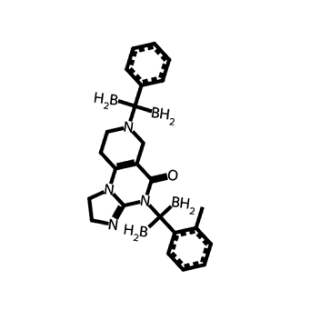 BC(B)(c1ccccc1)N1CCC2=C(C1)C(=O)N(C(B)(B)c1ccccc1C)C1=NCCN12